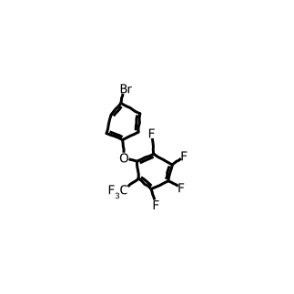 Fc1c(F)c(F)c(C(F)(F)F)c(Oc2ccc(Br)cc2)c1F